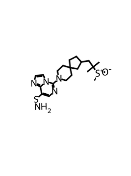 C[S@+]([O-])C(C)(C)CC1CCC2(CCN(c3ncc(SN)c4nccn34)CC2)C1